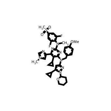 COc1ccc(CN(c2cc(C3CC3)n(C3CCCCO3)n2)c2nc(N(C)c3c(F)cc(S(C)(=O)=O)cc3F)nc(-c3cn(C)cn3)c2C2CC2)cc1